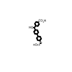 CCCCCCCCOc1ccc(-c2ccc(C(O)c3ccc(C(=O)O)cc3)cc2)cc1